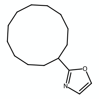 c1coc(C2CCCCCCCCCCC2)n1